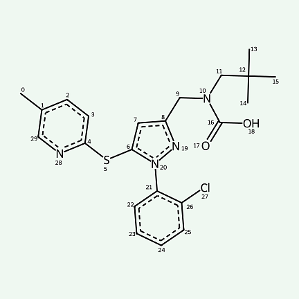 Cc1ccc(Sc2cc(CN(CC(C)(C)C)C(=O)O)nn2-c2ccccc2Cl)nc1